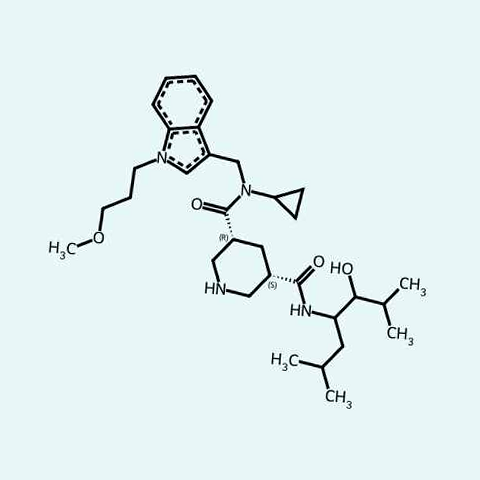 COCCCn1cc(CN(C(=O)[C@H]2CNC[C@@H](C(=O)NC(CC(C)C)C(O)C(C)C)C2)C2CC2)c2ccccc21